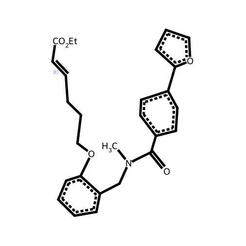 CCOC(=O)/C=C/CCCOc1ccccc1CN(C)C(=O)c1ccc(-c2ccco2)cc1